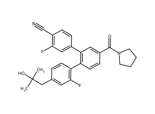 CC(C)(O)Cc1ccc(-c2ccc(C(=O)N3CCCC3)cc2-c2ccc(C#N)c(F)c2)c(F)c1